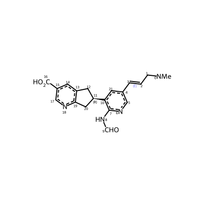 CNC/C=C/c1cnc(NC=O)c([C@@H]2Cc3cc(C(=O)O)cnc3C2)c1